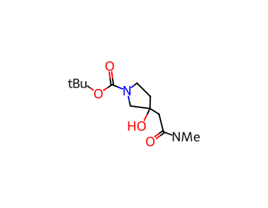 CNC(=O)CC1(O)CCN(C(=O)OC(C)(C)C)C1